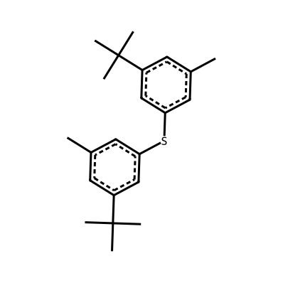 Cc1cc(Sc2cc(C)cc(C(C)(C)C)c2)cc(C(C)(C)C)c1